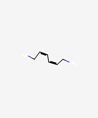 NC/C=C\C=C/CN